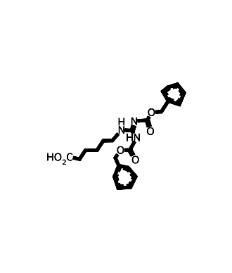 O=C(O)CCCCCNC(=NC(=O)OCc1ccccc1)NC(=O)OCc1ccccc1